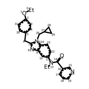 CCOc1ccc(Cc2nc3cc(N(CC)C(=O)c4cccnc4)ccc3n2CC2CC2)cc1